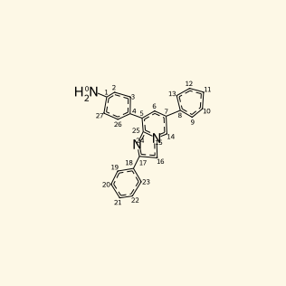 Nc1ccc(-c2cc(-c3ccccc3)cn3cc(-c4ccccc4)nc23)cc1